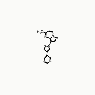 Cc1ccn2ncc(-n3cc(-c4cccnc4)cn3)c2n1